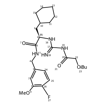 COc1cc(CNC(=O)[C@@H](CC2CCCCC2)NC(=N)NC(=O)COCC(C)C)ccc1F